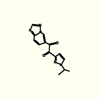 CC(C)n1ccc(C(=O)C(=O)c2ccc3ncnn3c2)n1